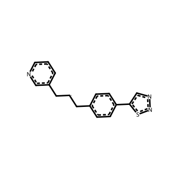 [CH](Cc1ccc(-c2cnns2)cc1)Cc1cccnc1